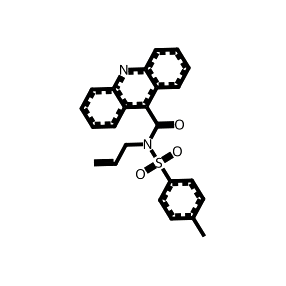 C=CCN(C(=O)c1c2ccccc2nc2ccccc12)S(=O)(=O)c1ccc(C)cc1